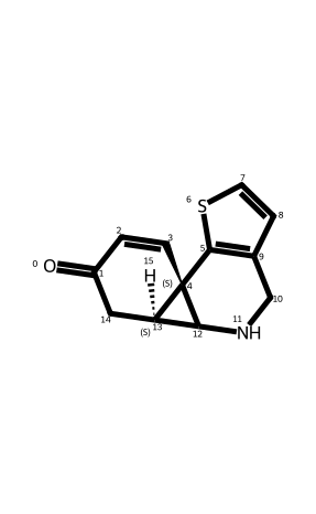 O=C1C=C[C@@]23c4sccc4CNC2[C@H]3C1